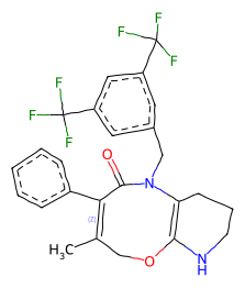 C/C1=C(\c2ccccc2)C(=O)N(Cc2cc(C(F)(F)F)cc(C(F)(F)F)c2)C2=C(NCCC2)OC1